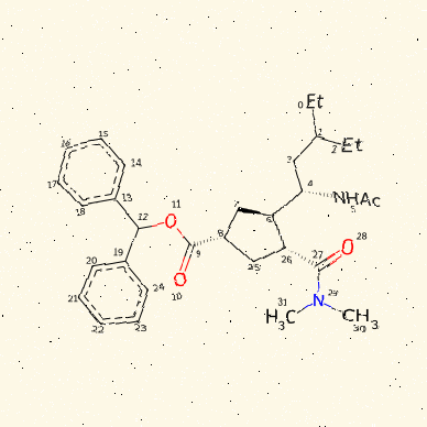 CCC(CC)C[C@H](NC(C)=O)[C@@H]1C[C@@H](C(=O)OC(c2ccccc2)c2ccccc2)C[C@H]1C(=O)N(C)C